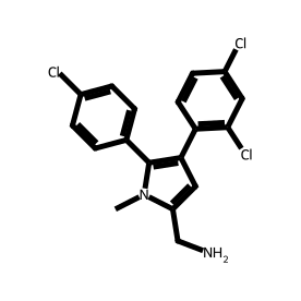 Cn1c(CN)cc(-c2ccc(Cl)cc2Cl)c1-c1ccc(Cl)cc1